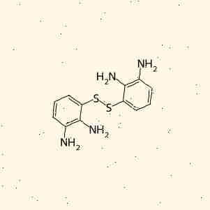 Nc1cccc(SSc2cccc(N)c2N)c1N